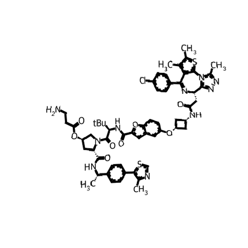 Cc1ncsc1-c1ccc([C@H](C)NC(=O)[C@@H]2C[C@@H](OC(=O)CCN)CN2C(=O)C(NC(=O)c2cc3cc(O[C@H]4C[C@@H](NC(=O)C[C@@H]5N=C(c6ccc(Cl)cc6)c6c(sc(C)c6C)-n6c(C)nnc65)C4)ccc3o2)C(C)(C)C)cc1